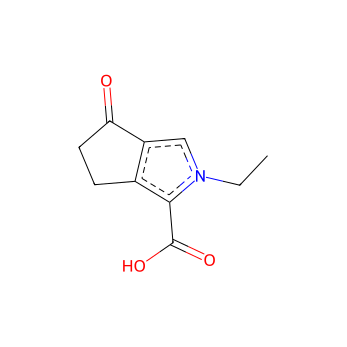 CCn1cc2c(c1C(=O)O)CCC2=O